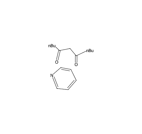 CCCCC(=O)CC(=O)CCCC.c1ccncc1